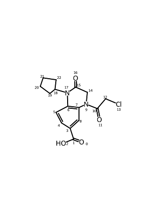 O=C(O)c1ccc2c(c1)N(C(=O)CCl)CC(=O)N2C1CCCC1